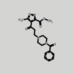 COC(=O)c1noc(C)c1C(=O)CCN1CCN(C(=O)c2ccccc2)CC1